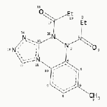 CCC(=O)N1c2cc(C)ccc2-n2cnnc2N1C(=O)CC